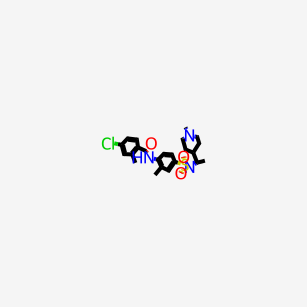 C/C(=N/S(=O)(=O)c1ccc(NC(=O)c2ccc(Cl)cc2C)c(C)c1)C1CCN(C)CC1